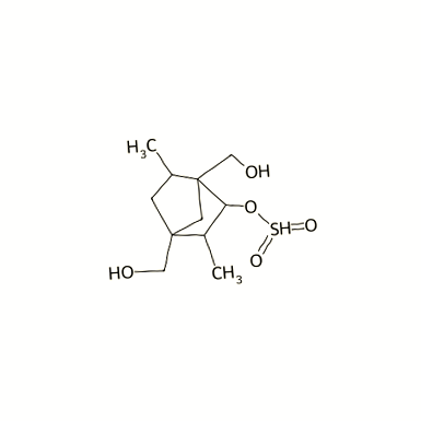 CC1C(O[SH](=O)=O)C2(CO)CC1(CO)CC2C